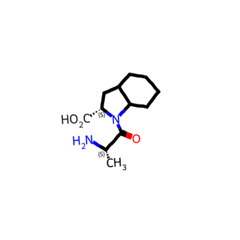 C[C@H](N)C(=O)N1C2CCCCC2C[C@H]1C(=O)O